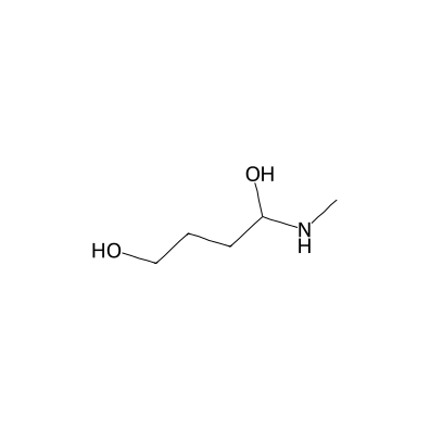 CNC(O)CCCO